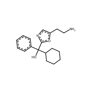 NCCc1cnc(C(O)(c2ccccc2)C2CCCCC2)o1